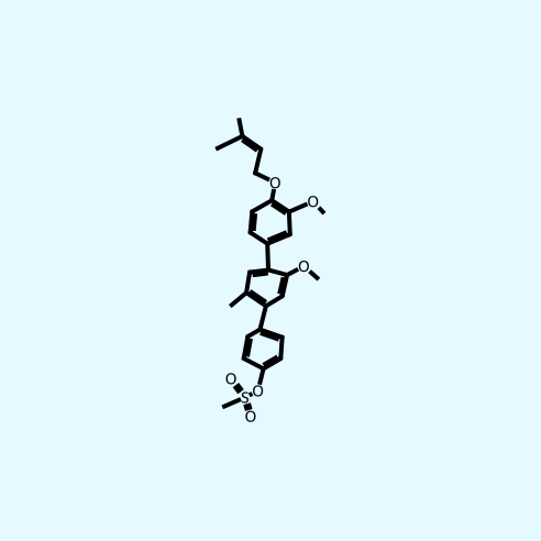 COc1cc(-c2cc(C)c(-c3ccc(OS(C)(=O)=O)cc3)cc2OC)ccc1OCC=C(C)C